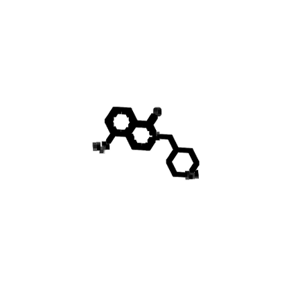 Nc1cccc2c(=O)n(CC3CCNCC3)ccc12